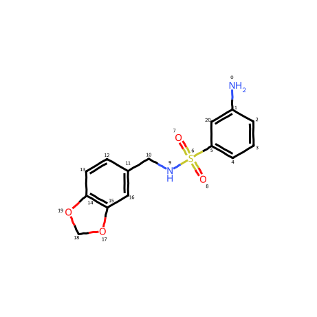 Nc1cccc(S(=O)(=O)NCc2ccc3c(c2)OCO3)c1